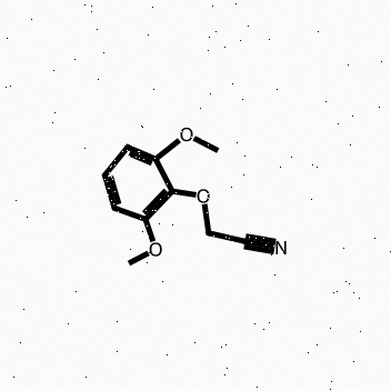 COc1cccc(OC)c1OCC#N